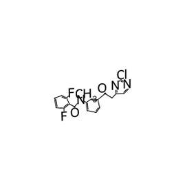 CN(C(=O)c1c(F)cccc1F)c1cccc(C(=O)Cc2ccnc(Cl)n2)c1